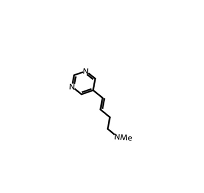 CNCCC=Cc1cncnc1